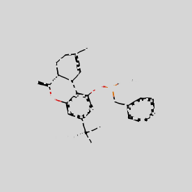 C=C1Oc2cc(C(C)(C)CCCCCC)cc(OP(Cc3ccccc3)OC)c2C2C=C(C)CCC12